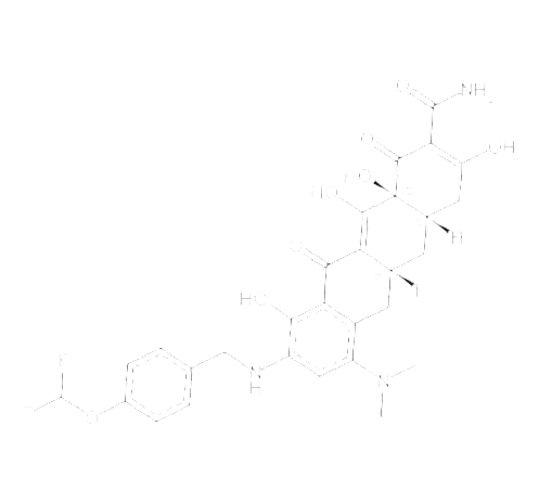 CN(C)c1cc(NCc2ccc(OC(F)F)cc2)c(O)c2c1C[C@H]1C[C@H]3CC(O)=C(C(N)=O)C(=O)[C@@]3(O)C(O)=C1C2=O